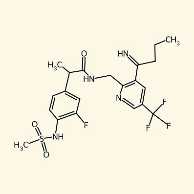 CCCC(=N)c1cc(C(F)(F)F)cnc1CNC(=O)C(C)c1ccc(NS(C)(=O)=O)c(F)c1